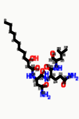 CCCCCCCCC[C@@H](O)CC(=O)NC(CC(N)=O)C(=O)NC(CCC(N)=O)C(=O)NC(C=O)CC(C)C